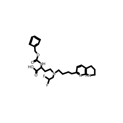 O=C(NC(CCN(CCCCc1ccc2c(n1)NCCC2)CC(F)F)C(=O)O)OCc1ccccc1